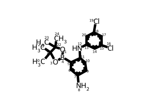 CC1(C)OB(c2cc(N)ccc2Nc2cc(Cl)cc(Cl)c2)OC1(C)C